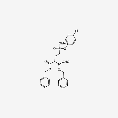 COP(=O)(CCC(C(=O)OCc1ccccc1)N(C=O)OCc1ccccc1)Oc1ccc(Cl)cc1